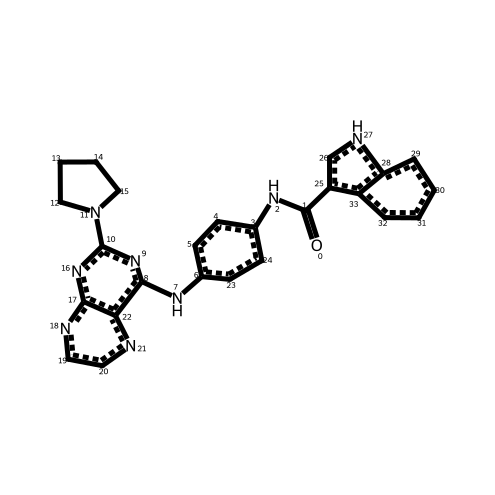 O=C(Nc1ccc(Nc2nc(N3CCCC3)nc3nccnc23)cc1)c1c[nH]c2ccccc12